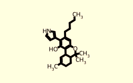 CCCCCc1cc2c(c(O)c1-c1cc[nH]c1)C1C=C(C)CCC1C(C)(C)O2